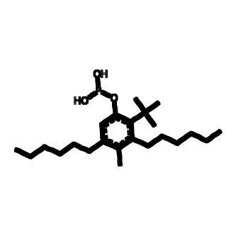 CCCCCCc1cc(OP(O)O)c(C(C)(C)C)c(CCCCCC)c1C